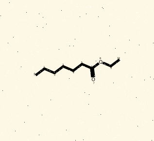 [CH2]CCCCCC(=O)OCC